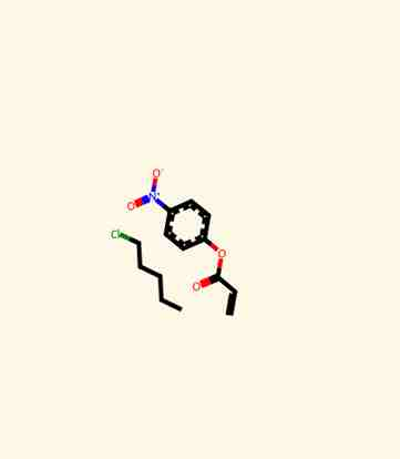 C=CC(=O)Oc1ccc([N+](=O)[O-])cc1.CCCCCCl